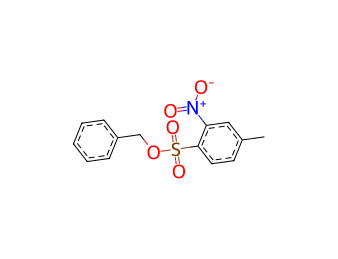 Cc1ccc(S(=O)(=O)OCc2ccccc2)c([N+](=O)[O-])c1